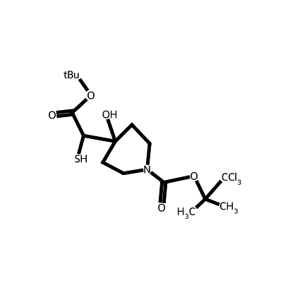 CC(C)(C)OC(=O)C(S)C1(O)CCN(C(=O)OC(C)(C)C(Cl)(Cl)Cl)CC1